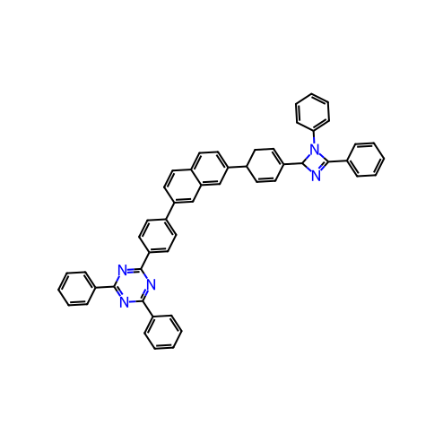 C1=CC(c2ccc3ccc(-c4ccc(-c5nc(-c6ccccc6)nc(-c6ccccc6)n5)cc4)cc3c2)CC=C1C1N=C(c2ccccc2)N1c1ccccc1